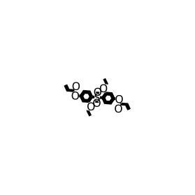 C=CC(=O)Oc1ccc(S(=O)(=O)c2ccc(OC(=O)C=C)cc2OCC)c(OCC)c1